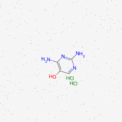 Cl.Cl.Nc1ncc(O)c(N)n1